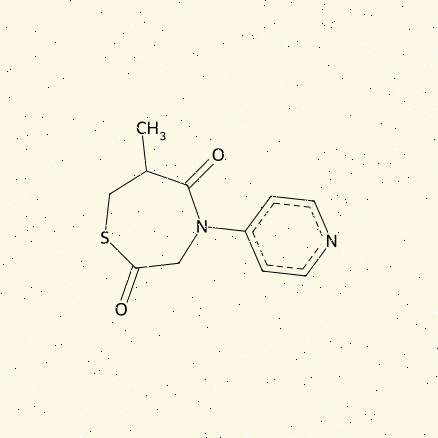 CC1CSC(=O)CN(c2ccncc2)C1=O